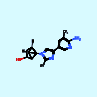 CC(C)c1nc(-c2cnc(N)c(C(F)(F)F)c2)cn1[C@]12C3C(O)C[C@@H]1[C@H]32